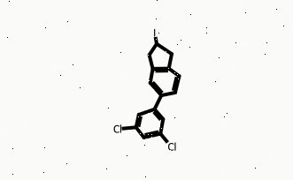 Clc1cc(Cl)cc(-c2ccc3c(c2)CC(I)C3)c1